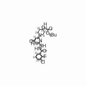 CC1(NC(=O)OC(C)(C)C)CCN(c2cc(=O)[nH]c(NNC(=O)c3cccc(Cl)c3F)n2)CC1